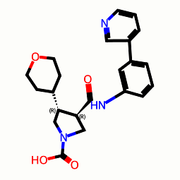 O=C(Nc1cccc(-c2cccnc2)c1)[C@H]1CN(C(=O)O)C[C@@H]1C1CCOCC1